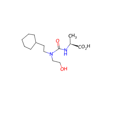 C[C@H](NC(=O)N(CCO)CCC1CCCCC1)C(=O)O